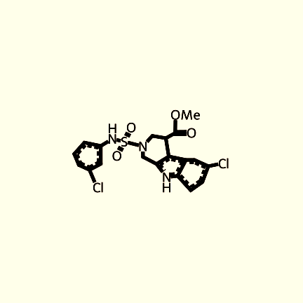 COC(=O)C1CN(S(=O)(=O)Nc2cccc(Cl)c2)Cc2[nH]c3ccc(Cl)cc3c21